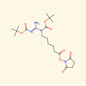 CC(C)(C)OC(=O)N=C(N)N(CCCCCC(=O)ON1C(=O)CCC1=O)C(=O)OC(C)(C)C